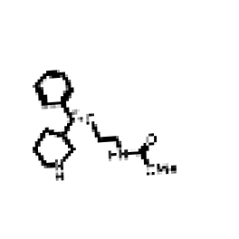 COC(=O)NCCO[C@@H](c1ccccc1)C1CCCNC1